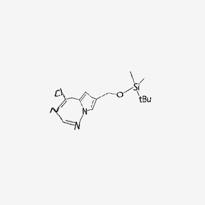 CC(C)(C)[Si](C)(C)OCc1cc2c(Cl)ncnn2c1